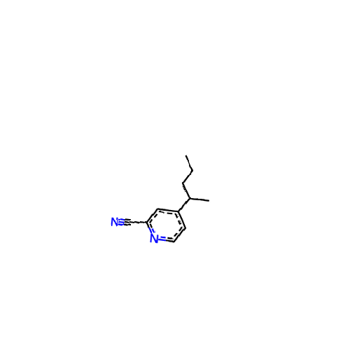 CCCC(C)c1ccnc(C#N)c1